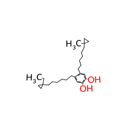 CCC1(CCCCCCc2cc(O)c(O)cc2CCCCCCC2(C)CC2)CC1